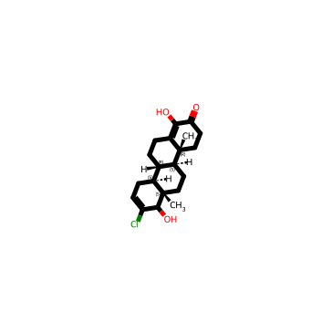 C[C@]12CCC(=O)C(O)=C1CC[C@@H]1[C@@H]2CC[C@]2(C)C(O)C(Cl)=CC[C@@H]12